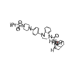 CC(C)S(=O)(=O)N1CCN(c2ccc(N3CCN(C(=O)N[C@]45CC6CC(C4)[C@@H](O)[C@@H](C6)C5)c4ccccc43)cc2)CC1